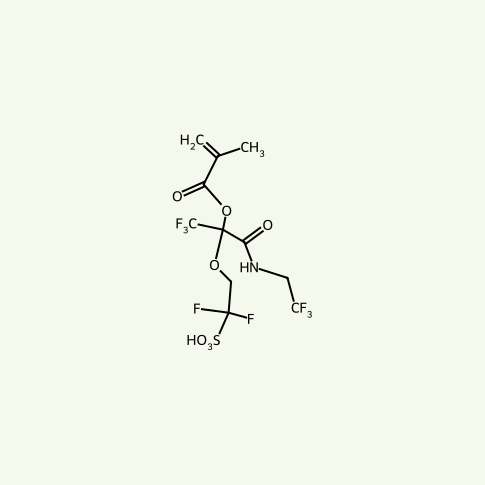 C=C(C)C(=O)OC(OCC(F)(F)S(=O)(=O)O)(C(=O)NCC(F)(F)F)C(F)(F)F